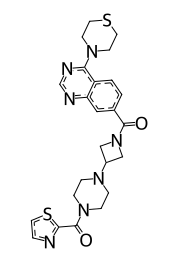 O=C(c1ccc2c(N3CCSCC3)ncnc2c1)N1CC(N2CCN(C(=O)c3nccs3)CC2)C1